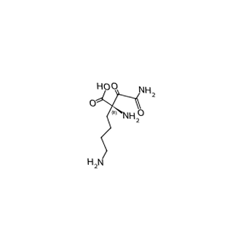 NCCCC[C@](N)(C(=O)O)C(=O)C(N)=O